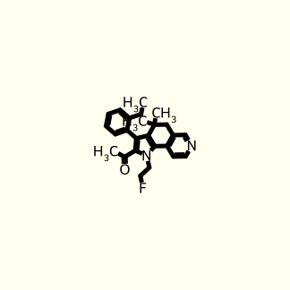 CCc1ccccc1-c1c2c(n(CCF)c1C(C)=O)-c1ccncc1CC2(C)C